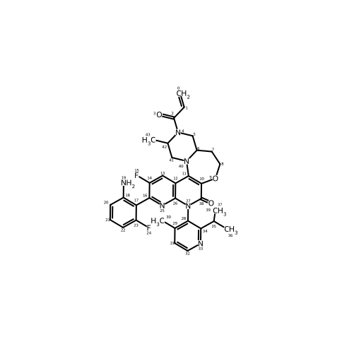 C=CC(=O)N1CC2CCOc3c(c4cc(F)c(-c5c(N)cccc5F)nc4n(-c4c(C)ccnc4C(C)C)c3=O)N2CC1C